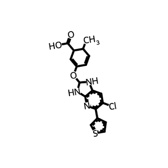 CC1C=CC(OC2Nc3cc(Cl)c(-c4ccsc4)nc3N2)=CC1C(=O)O